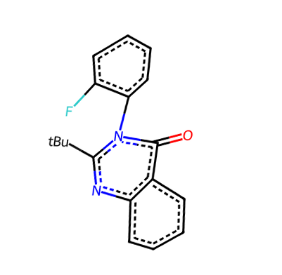 CC(C)(C)c1nc2ccccc2c(=O)n1-c1ccccc1F